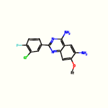 CCOc1cc2nc(-c3ccc(F)c(Cl)c3)nc(N)c2cc1N